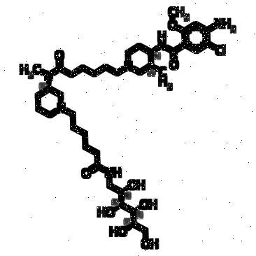 COc1cc(N)c(Cl)cc1C(=O)N[C@@H]1CCN(CCCCCC(=O)N(C)[C@@H]2CCCN(CCCCCC(=O)NC[C@H](O)[C@@H](O)[C@H](O)[C@H](O)CO)C2)C[C@@H]1C